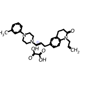 C=CCN1C(=O)CCc2cc(C/C=C/N3CCN(c4cccc(C)c4)CC3)ccc21.O=C(O)C(=O)O